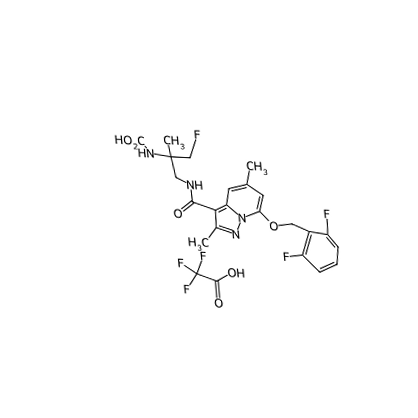 Cc1cc(OCc2c(F)cccc2F)n2nc(C)c(C(=O)NCC(C)(CF)NC(=O)O)c2c1.O=C(O)C(F)(F)F